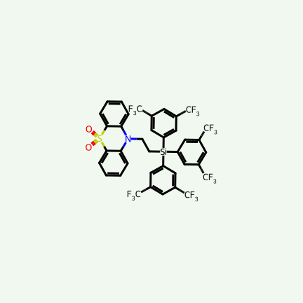 O=S1(=O)c2ccccc2N(CC[Si](c2cc(C(F)(F)F)cc(C(F)(F)F)c2)(c2cc(C(F)(F)F)cc(C(F)(F)F)c2)c2cc(C(F)(F)F)cc(C(F)(F)F)c2)c2ccccc21